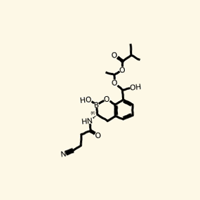 CC(OC(=O)C(C)C)OC(O)c1cccc2c1OB(O)[C@@H](NC(=O)CCC#N)C2